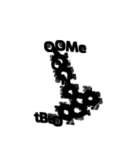 COC(=O)C1CCC2(CCN(c3ccc([C@@H]4c5ccc(OC(C)(C)C)cc5CC[C@@H]4c4ccccc4)cc3)CC2)OC1